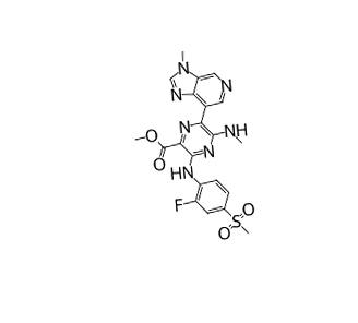 CNc1nc(Nc2ccc(S(C)(=O)=O)cc2F)c(C(=O)OC)nc1-c1cncc2c1ncn2C